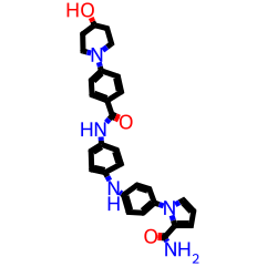 NC(=O)c1cccn1-c1ccc(Nc2ccc(NC(=O)c3ccc(N4CCC(O)CC4)cc3)cc2)cc1